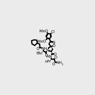 CCC[C@H](NC(=O)[C@@H]1C[C@]2(CC(c3cc(Cl)c(OC)cc3OC)=NO2)CN1C(=O)[C@@H](NC(=O)CC1CCCCC1)C(C)(C)C)C(=O)C(N)=O